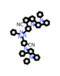 N#Cc1ccccc1-c1cc(-c2nc(-c3ccccc3)nc(-c3ccc(-n4c5ccccc5c5c4ccc4c6ccccc6n(-c6ccccc6)c45)c(C#N)c3)n2)ccc1-n1c2ccccc2c2c1ccc1c3ccccc3n(-c3ccccc3)c12